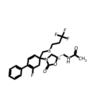 CC(=O)NC[C@H]1CN(C2(CSCCC(F)(F)F)C=CC(c3ccccc3)=C(F)C2)C(=O)O1